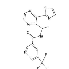 CC(NC(=O)c1cncc(C(F)(F)F)c1)c1nccnc1-c1nccs1